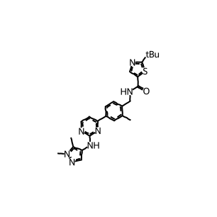 Cc1cc(-c2ccnc(Nc3cnn(C)c3C)n2)ccc1CNC(=O)c1cnc(C(C)(C)C)s1